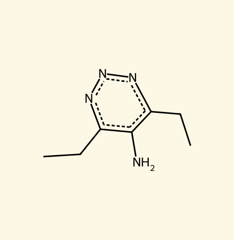 CCc1nnnc(CC)c1N